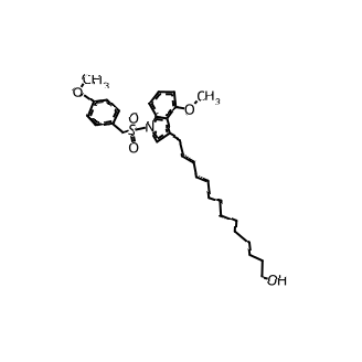 COc1ccc(CS(=O)(=O)n2cc(CCCCCCCCCCCCCCO)c3c(OC)cccc32)cc1